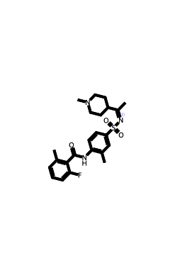 C/C(=N/S(=O)(=O)c1ccc(NC(=O)c2c(C)cccc2F)c(C)c1)C1CCN(C)CC1